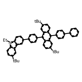 CCn1c2ccc(-c3ccc(-c4c5ccc(C(C)(C)C)cc5c(-c5ccc(-c6ccccc6)cc5)c5ccc(C(C)(C)C)cc45)cc3)cc2c2cc(C(C)(C)C)ccc21